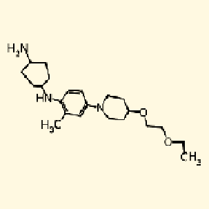 CCOCCOC1CCN(c2ccc(NC3CCC(N)CC3)c(C)c2)CC1